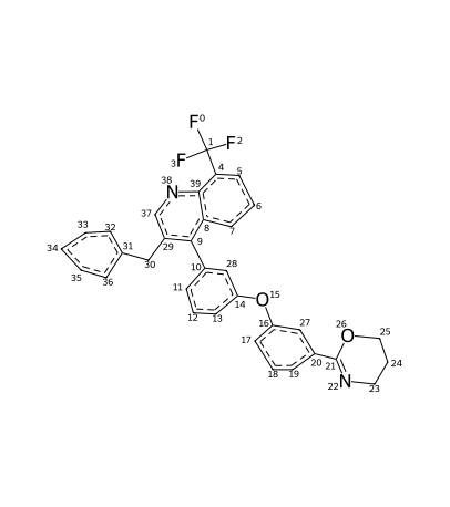 FC(F)(F)c1cccc2c(-c3cccc(Oc4cccc(C5=NCCCO5)c4)c3)c(Cc3ccccc3)cnc12